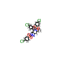 CCC1Cc2nn(S(=O)(=O)c3ccc(Cl)cc3)cc2C(c2ccc(Cl)cc2)N1S(=O)(=O)c1ccc(Cl)cc1